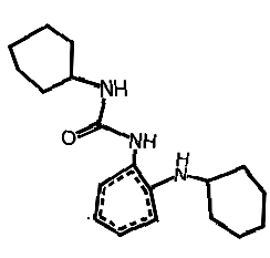 O=C(Nc1c[c]ccc1NC1CCCCC1)NC1CCCCC1